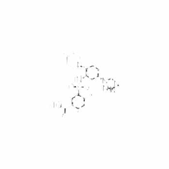 CCc1ccc(C(=O)O)cc1S(=O)(=O)Nc1cc(-n2cnnn2)ccc1N1CCCCC1